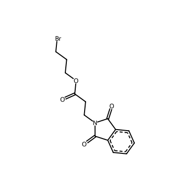 O=C(CCN1C(=O)c2ccccc2C1=O)OCCCBr